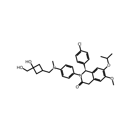 COc1cc2c(cc1OC(C)C)[C@H](c1ccc(Cl)cc1)N(c1ccc(N(C)CC3CC(O)(CO)C3)cc1)C(=O)C2